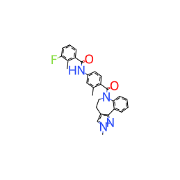 Cc1cc(NC(=O)c2cccc(F)c2C)ccc1C(=O)N1CCc2cn(C)nc2-c2ccccc21